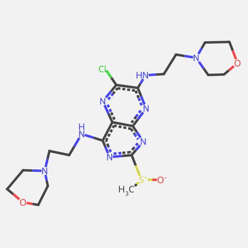 C[S+]([O-])c1nc(NCCN2CCOCC2)c2nc(Cl)c(NCCN3CCOCC3)nc2n1